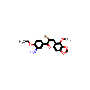 CCOc1ccc(C(=O)/C(Br)=C\c2ccc3c(c2OC)OCO3)cc1N